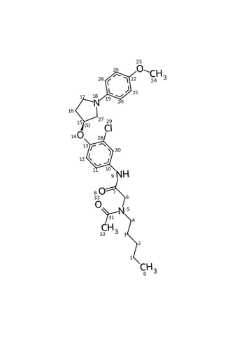 CCCCCN(CC(=O)Nc1ccc(O[C@H]2CCN(c3ccc(OC)cc3)C2)c(Cl)c1)C(C)=O